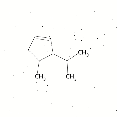 CC(C)C1C=CCC1C